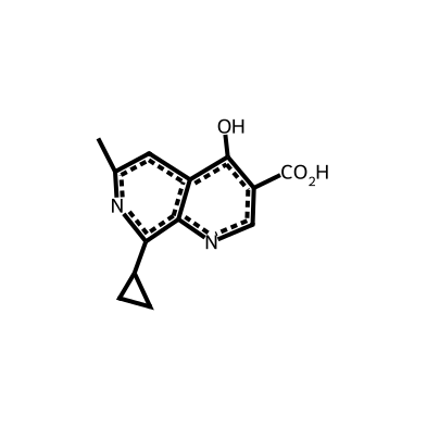 Cc1cc2c(O)c(C(=O)O)cnc2c(C2CC2)n1